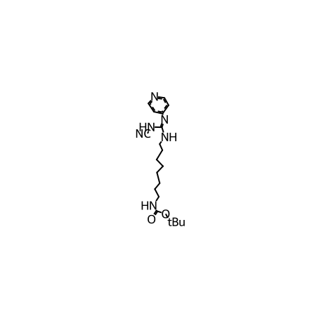 CC(C)(C)OC(=O)NCCCCCCCCNC(=Nc1ccncc1)NC#N